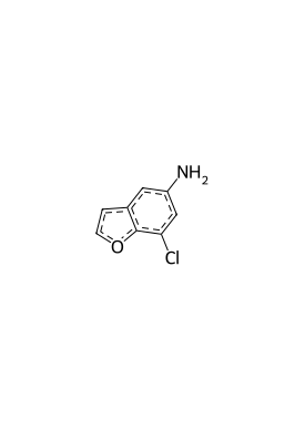 Nc1cc(Cl)c2occc2c1